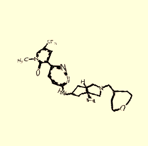 Cn1cc(C(F)(F)F)cc(-c2ccc(NC3C[C@@H]4CN(CC5CCOCC5)C[C@@H]4C3)nn2)c1=O